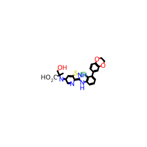 CC(CO)(N=c1cnc2c(Nc3cccc(-c4ccc5c(c4)OCCO5)c3Cl)[nH]sc-2c1)C(=O)O